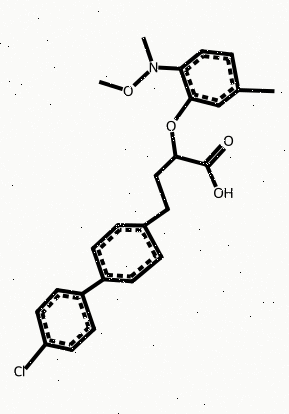 CON(C)c1ccc(C)cc1OC(CCc1ccc(-c2ccc(Cl)cc2)cc1)C(=O)O